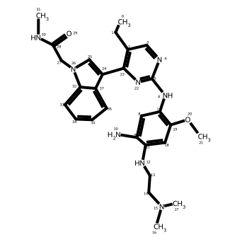 CCc1cnc(Nc2cc(N)c(NCCN(C)C)cc2OC)nc1-c1cn(CC(=O)NC)c2ccccc12